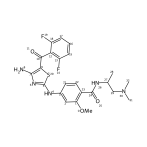 COc1cc(Nc2nc(N)c(C(=O)c3c(F)cccc3F)s2)ccc1C(=O)NC(C)CN(C)C